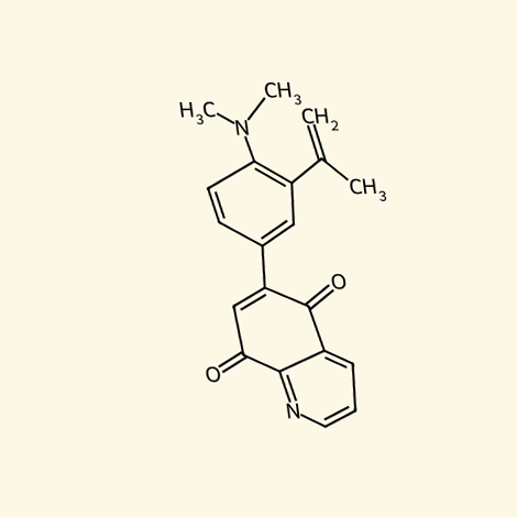 C=C(C)c1cc(C2=CC(=O)c3ncccc3C2=O)ccc1N(C)C